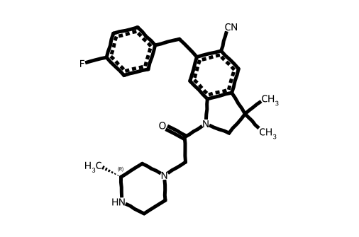 C[C@@H]1CN(CC(=O)N2CC(C)(C)c3cc(C#N)c(Cc4ccc(F)cc4)cc32)CCN1